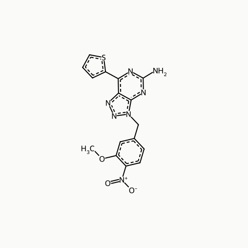 COc1cc(Cn2nnc3c(-c4cccs4)nc(N)nc32)ccc1[N+](=O)[O-]